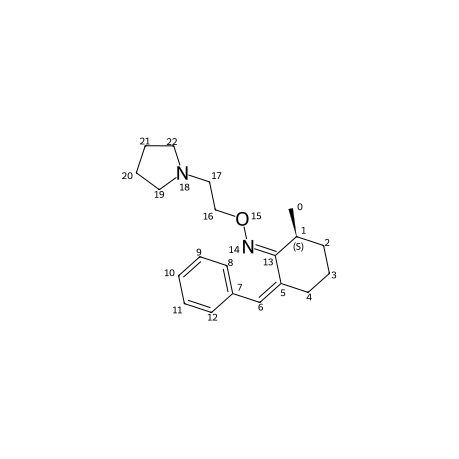 C[C@H]1CCCC(=Cc2ccccc2)C1=NOCCN1CCCC1